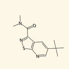 CN(C)C(=O)c1nsc2ncc(C(C)(C)C)cc12